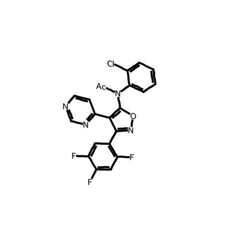 CC(=O)N(c1ccccc1Cl)c1onc(-c2cc(F)c(F)cc2F)c1-c1ccncn1